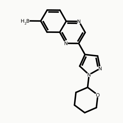 Bc1ccc2ncc(-c3cnn(C4CCCCO4)c3)nc2c1